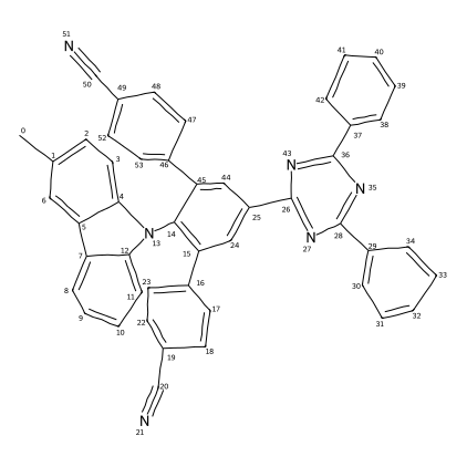 Cc1ccc2c(c1)c1ccccc1n2-c1c(-c2ccc(C#N)cc2)cc(-c2nc(-c3ccccc3)nc(-c3ccccc3)n2)cc1-c1ccc(C#N)cc1